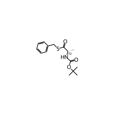 C[C@H](NC(=O)OC(C)(C)C)C(=O)SCc1ccccc1